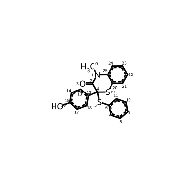 CN1C(=O)C(Sc2ccccc2)(c2ccc(O)cc2)Sc2ccccc21